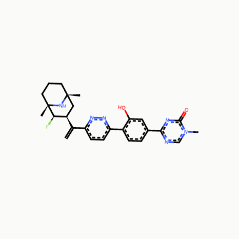 C=C(c1ccc(-c2ccc(-c3ncn(C)c(=O)n3)cc2O)nn1)[C@@H]1C[C@@]2(C)CCC[C@](C)(N2)[C@@H]1F